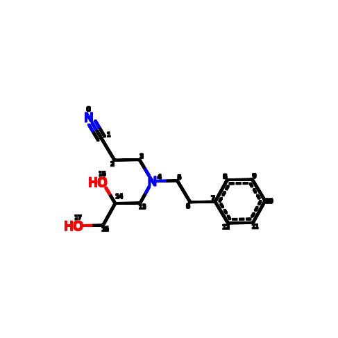 N#CCCN(CCc1ccccc1)CC(O)CO